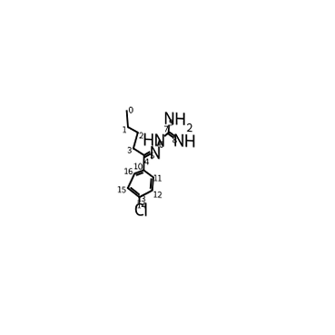 CCCC/C(=N\NC(=N)N)c1ccc(Cl)cc1